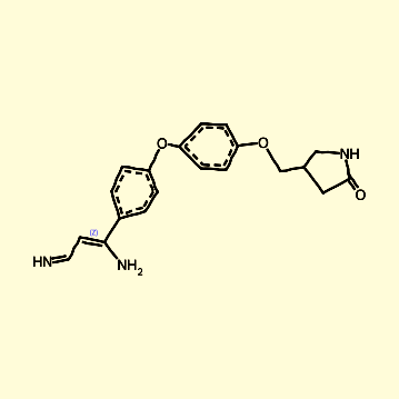 N=C/C=C(\N)c1ccc(Oc2ccc(OCC3CNC(=O)C3)cc2)cc1